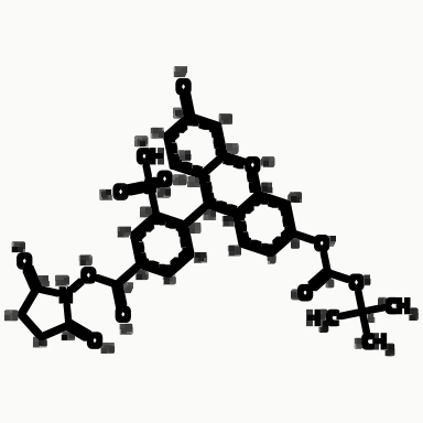 CC(C)(C)OC(=O)Oc1ccc2c(-c3ccc(C(=O)ON4C(=O)CCC4=O)cc3S(=O)(=O)O)c3ccc(=O)cc-3oc2c1